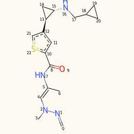 C=NN(C)/C=C(\C)NC(=O)c1cc([C@H]2C[C@@H]2NCC2CC2)cs1